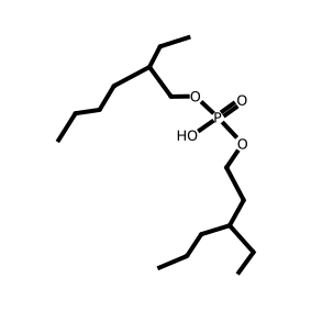 CCCCC(CC)COP(=O)(O)OCCC(CC)CCC